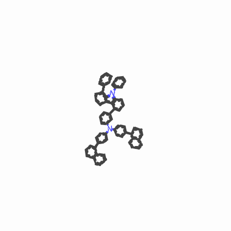 c1ccc(-c2cccc3c4c(-c5cccc(N(c6ccc(-c7cccc8ccccc78)cc6)c6ccc(-c7cccc8ccccc78)cc6)c5)cccc4n(-c4ccccc4)c23)cc1